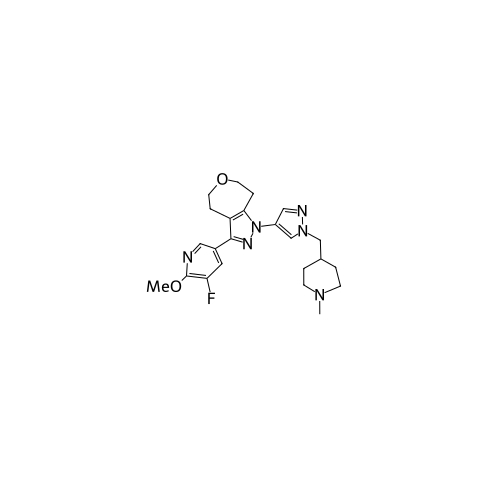 COc1ncc(-c2nn(-c3cnn(CC4CCN(C)CC4)c3)c3c2CCOCC3)cc1F